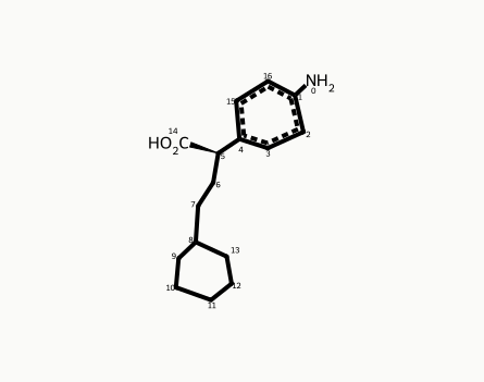 Nc1ccc([C@@H](CCC2CCCCC2)C(=O)O)cc1